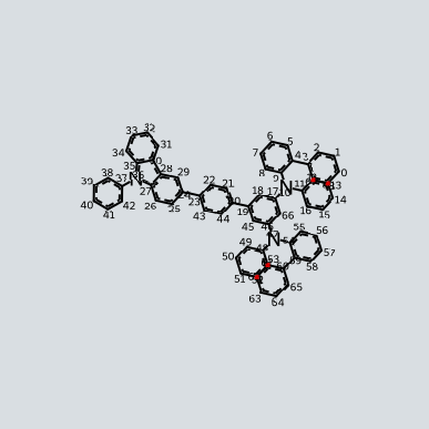 c1ccc(-c2ccccc2N(c2ccccc2)c2cc(-c3ccc(-c4ccc5c(c4)c4ccccc4n5-c4ccccc4)cc3)cc(N(c3ccccc3)c3ccccc3-c3ccccc3)c2)cc1